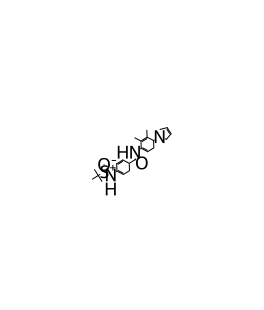 CC1=C(C)[C@@H](N2CC=CC2)CC=C1NC(=O)C1C=CC(N[S+]([O-])C(C)(C)C)=CC1